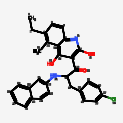 CCc1ccc2nc(O)c(C(=O)C(Cc3ccc(Cl)cc3)Nc3ccc4ccccc4c3)c(O)c2c1C